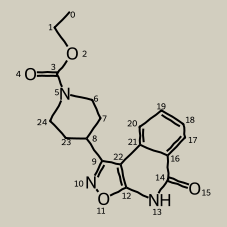 CCOC(=O)N1CCC(c2noc3[nH]c(=O)c4ccccc4c23)CC1